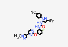 CC(C)c1cc(NC(=O)Nc2cc(Oc3nccc(-c4cnn(C)c4)n3)ccc2F)n(-c2ccc(C#N)cc2)n1